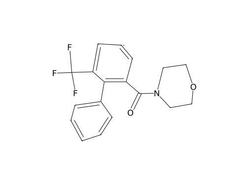 O=C(c1c[c]cc(C(F)(F)F)c1-c1ccccc1)N1CCOCC1